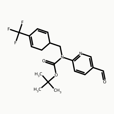 CC(C)(C)OC(=O)N(CC1C=CC(C(F)(F)F)=CC1)c1ccc(C=O)cn1